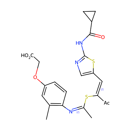 CC(=O)/C(=C/c1cnc(NC(=O)C2CC2)s1)S/C(C)=N\c1ccc(OCC(=O)O)cc1C